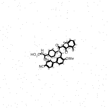 COc1ccc(-c2ccc(C#N)cc2)cc1CN(C(=O)c1sc2cccc(F)c2c1Cl)C1CCC(C(NC(=O)O)C(C)(C)C)CC1